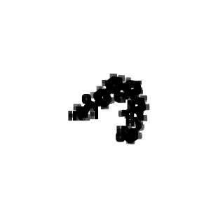 COc1nc(-c2cccc(-c3cccc(-c4ccc(NC(=O)C5CNC5)cc4)c3Cl)c2Cl)ccc1CNC[C@@H]1CCC(=O)N1